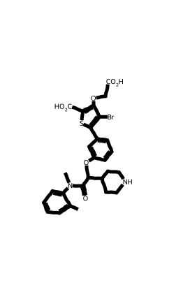 Cc1ccccc1N(C)C(=O)C(Oc1cccc(-c2sc(C(=O)O)c(OCC(=O)O)c2Br)c1)C1CCNCC1